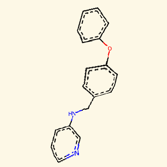 c1ccc(Oc2ccc(CNc3cccnc3)cc2)cc1